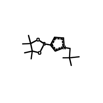 CC(C)(C)Cn1ccc(B2OC(C)(C)C(C)(C)O2)c1